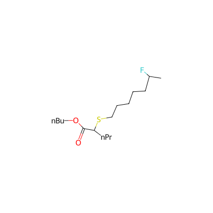 CCCCOC(=O)C(CCC)SCCCCCC(C)F